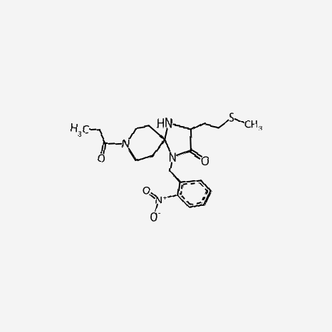 CCC(=O)N1CCC2(CC1)NC(CCSC)C(=O)N2Cc1ccccc1[N+](=O)[O-]